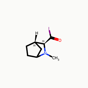 CN1C2CC[C@@H](C2)[C@H]1C(=O)I